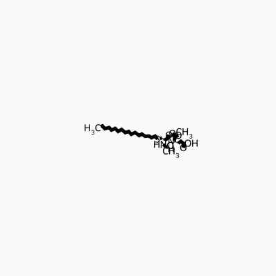 CCCCCCCCCCCCCCCCCCSC[C@@H](NC(C)=O)C(=O)N[C@@H](CCC(=O)O)C(=O)OC